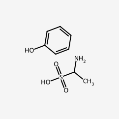 CC(N)S(=O)(=O)O.Oc1ccccc1